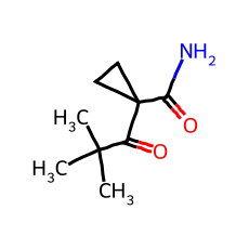 CC(C)(C)C(=O)C1(C(N)=O)CC1